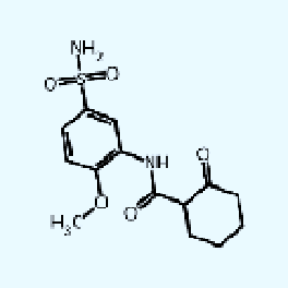 COc1ccc(S(N)(=O)=O)cc1NC(=O)C1CCCCC1=O